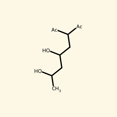 CC(=O)C(CC(O)CC(C)O)C(C)=O